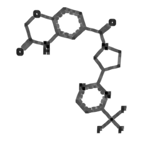 O=C1COc2ccc(C(=O)N3CCC(c4nccc(C(F)(F)F)n4)C3)cc2N1